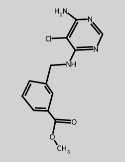 COC(=O)c1cccc(CNc2ncnc(N)c2Cl)c1